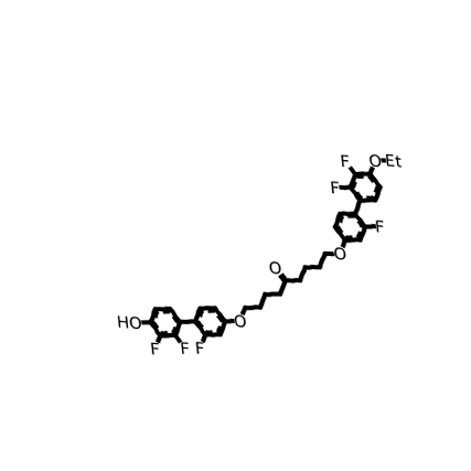 CCOc1ccc(-c2ccc(OCCCCC(=O)CCCCOc3ccc(-c4ccc(O)c(F)c4F)c(F)c3)cc2F)c(F)c1F